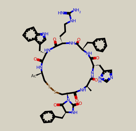 CC(=O)[C@@H]1CSSC[C@H](N2C(=O)N[C@@H](Cc3ccccc3)C2=O)C(=O)N[C@H](C)C(=O)N[C@@H](Cc2cnc[nH]2)C(=O)N[C@H](Cc2ccccc2)C(=O)N[C@@H](CCCNC(=N)N)C(=O)N[C@@H](Cc2c[nH]c3ccccc23)C(=O)N1